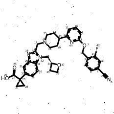 N#Cc1ccc(COc2cccc(C3CCN(Cc4nc5cc(C6(C(=O)O)CC6)ccc5n4C[C@@H]4CCO4)CC3)n2)c(F)c1